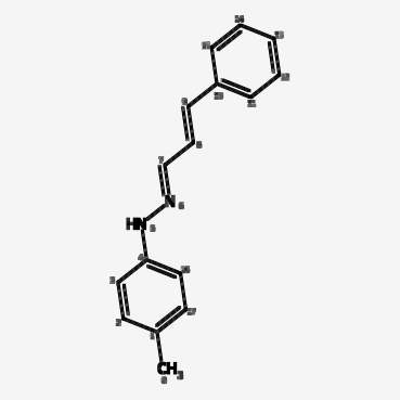 Cc1ccc(NN=CC=Cc2ccccc2)cc1